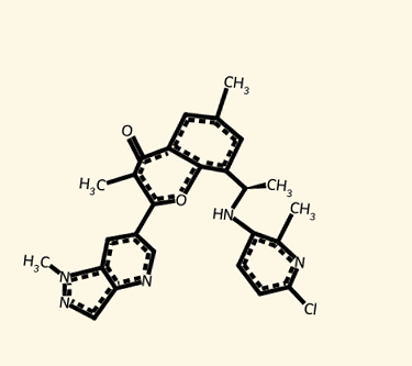 Cc1cc([C@@H](C)Nc2ccc(Cl)nc2C)c2oc(-c3cnc4cnn(C)c4c3)c(C)c(=O)c2c1